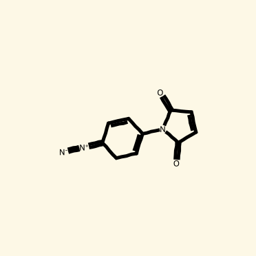 [N-]=[N+]=C1C=CC(N2C(=O)C=CC2=O)=CC1